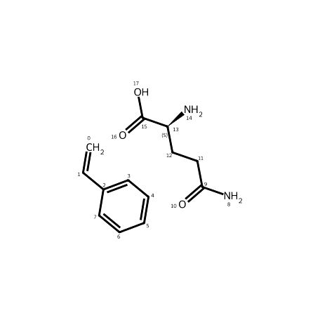 C=Cc1ccccc1.NC(=O)CC[C@H](N)C(=O)O